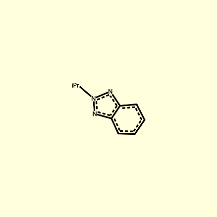 CC(C)n1nc2ccccc2n1